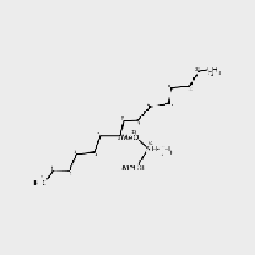 CCCCCCCCCCCCCCC.CO[SiH](C)OC